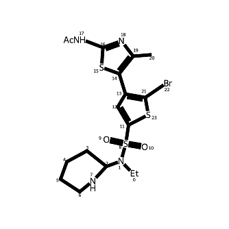 CCN(C1CCCCN1)S(=O)(=O)c1cc(-c2sc(NC(C)=O)nc2C)c(Br)s1